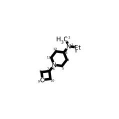 CCN(C)C1CCN(C2COC2)CC1